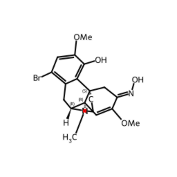 COC1=C[C@H]2[C@H]3Cc4c(Br)cc(OC)c(O)c4[C@@]2(CCN3C)CC1=NO